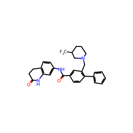 O=C1CCc2ccc(NC(=O)c3ccc(-c4ccccc4)c(CN4CCCC(C(F)(F)F)C4)c3)cc2N1